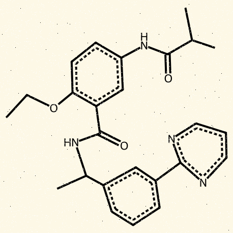 CCOc1ccc(NC(=O)C(C)C)cc1C(=O)NC(C)c1cccc(-c2ncccn2)c1